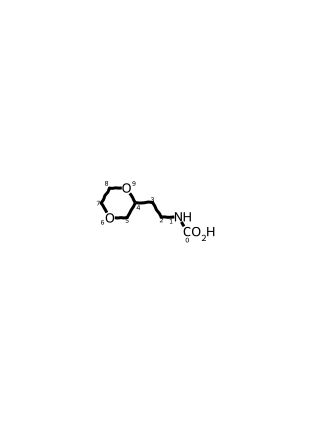 O=C(O)NCCC1COCCO1